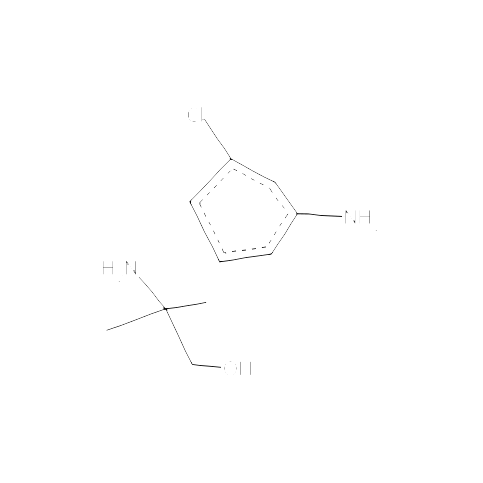 CC(C)(N)CO.Nc1cccc(Cl)c1